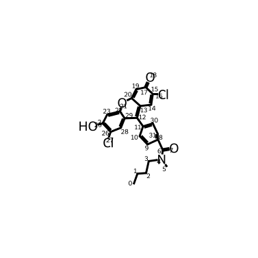 CCCCN(C)C(=O)c1ccc(-c2c3cc(Cl)c(=O)cc-3oc3cc(O)c(Cl)cc23)cc1